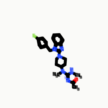 CN/C(=N\C(C)=O)N(C)C1CCN(c2nc3ccccc3n2Cc2ccc(F)cc2)CC1